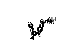 O=C(CCc1c[nH]c(=O)o1)N1CC2CCN(C(=O)c3cc(OCC4CCOCC4)nc(C4CC4)c3)CCC2C1